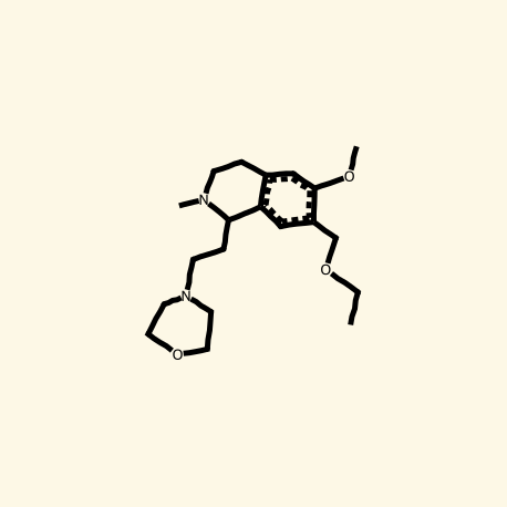 CCOCc1cc2c(cc1OC)CCN(C)C2CCN1CCOCC1